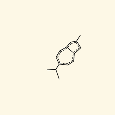 Cc1cc2ccc(C(C)C)ccc-2c1